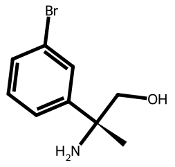 C[C@](N)(CO)c1cccc(Br)c1